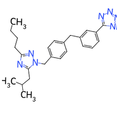 CCCCc1nc(CC(C)C)n(Cc2ccc(Cc3cccc(-c4nnn[nH]4)c3)cc2)n1